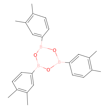 Cc1ccc(B2OB(c3ccc(C)c(C)c3)OB(c3ccc(C)c(C)c3)O2)cc1C